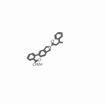 COC(=O)c1ccccc1-c1ccc2c(c1)CN(C(=O)CC(C)c1ccccc1)C2